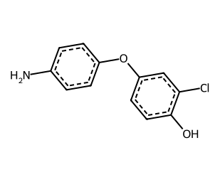 Nc1ccc(Oc2ccc(O)c(Cl)c2)cc1